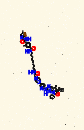 CC(=O)c1c(C)c2cnc(Nc3ccc(N4CCN(CC(=O)NCCCCCCCCCNC(=O)c5ccc(C(=O)Nc6ncc(C)s6)c(C)c5)CC4)cn3)nc2n(C2CCCC2)c1=O